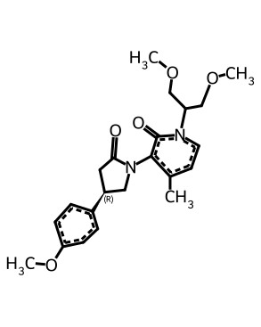 COCC(COC)n1ccc(C)c(N2C[C@@H](c3ccc(OC)cc3)CC2=O)c1=O